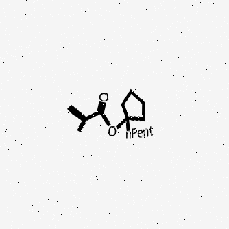 C=C(C)C(=O)OC1(CCCCC)CCCC1